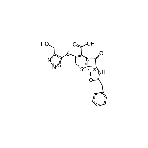 O=C(Cc1ccccc1)N[C@@H]1C(=O)N2C(C(=O)O)=C(Sc3snnc3CO)CS[C@H]12